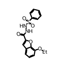 CCOc1cccc2cc(C(=O)NNS(=O)(=O)c3ccccc3)oc12